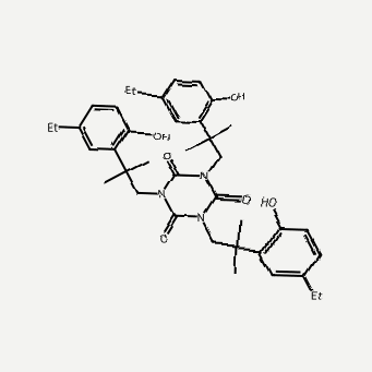 CCc1ccc(O)c(C(C)(C)Cn2c(=O)n(CC(C)(C)c3cc(CC)ccc3O)c(=O)n(CC(C)(C)c3cc(CC)ccc3O)c2=O)c1